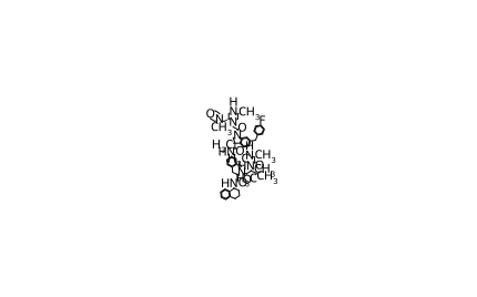 CN[C@@H](C)C(=O)N[C@H](C(=O)N1Cc2cc(NC(=O)C3(C)CN(C(=O)CN4C[C@@H](C)NC[C@@H]4CN4CCOC[C@H]4C)c4cc(Cc5ccc(F)cc5)ccc43)ccc2CC1C(=O)N[C@@H]1CCCc2ccccc21)C(C)(C)C